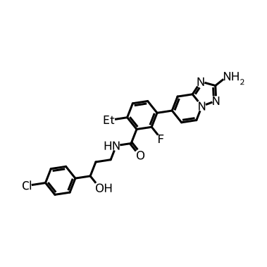 CCc1ccc(-c2ccn3nc(N)nc3c2)c(F)c1C(=O)NCCC(O)c1ccc(Cl)cc1